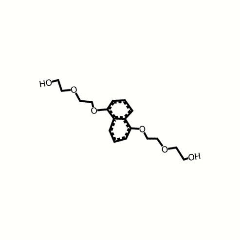 OCCOCCOc1cccc2c(OCCOCCO)cccc12